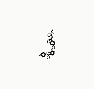 CCOC(=O)Cc1coc2cc(OCc3cccc4c3CN(c3ccc(C)cc3)C4=O)ccc12